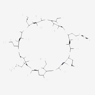 [N-]=[N+]=NCCC1OC2OC(CO)C(OC(O)/C(O)=C(\O)C(CCO)OC(O)/C(O)=C(\O)C(CCO)OC3OC(CN=[N+]=[N-])C(OC4(CO)CC(O)C(OC(O)/C=C(\O)C(CCO)OC(O)/C(O)=C/1O)C(CO)O4)C(O)C3O)C(O)C2O